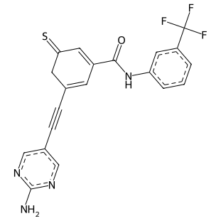 Nc1ncc(C#CC2=CC(C(=O)Nc3cccc(C(F)(F)F)c3)=CC(=S)C2)cn1